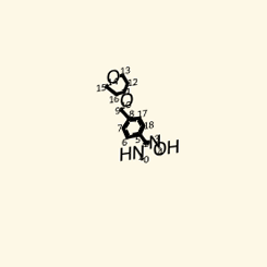 CN/C(=N\O)c1ccc(COC2CCOCC2)cc1